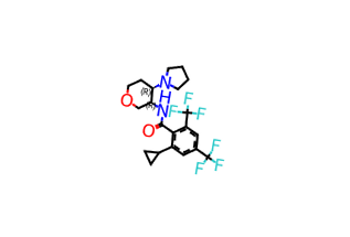 O=C(N[C@H]1COCC[C@H]1N1CCCC1)c1c(C2CC2)cc(C(F)(F)F)cc1C(F)(F)F